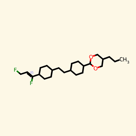 CCCC1COC(C2CCC(CCC3CCC(/C(F)=C/CF)CC3)CC2)OC1